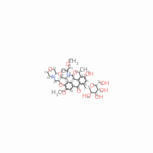 CCc1c(O)cc(C[C@@H]2O[C@H](CO)[C@H](O)[C@H](O)[C@H]2O)c(C(=O)c2ccc(OCCN3CCOCC3)c(OC)c2)c1CC(=O)N(CCOC)CCOC